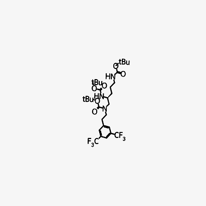 CC(C)(C)OC(=O)NCCC[C@@H](CN(CCc1cc(C(F)(F)F)cc(C(F)(F)F)c1)C(=O)OC(C)(C)C)NC(=O)OC(C)(C)C